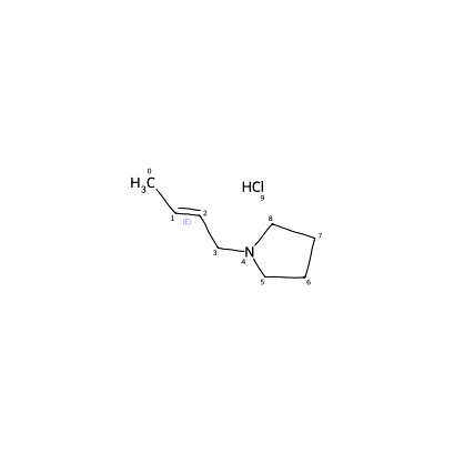 C/C=C/CN1CCCC1.Cl